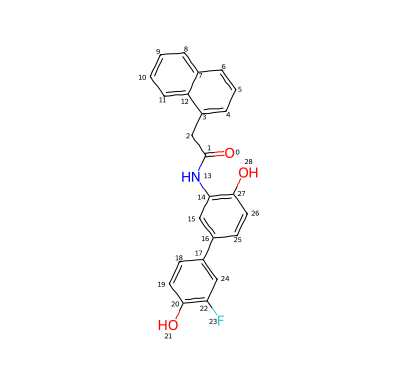 O=C(Cc1cccc2ccccc12)Nc1cc(-c2ccc(O)c(F)c2)ccc1O